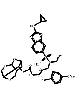 COc1ccc(C[C@H](NC(=O)OC2C3COC4OC2CC4CO3)[C@H](O)CN(CC(C)C)S(=O)(=O)c2ccc3nc(NC4CC4)sc3c2)cc1